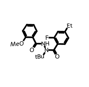 CCc1ccc(C(=O)N(NC(=O)c2ccccc2OC)C(C)(C)C)c(F)c1